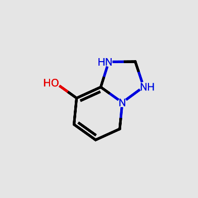 OC1=C2NCNN2CC=C1